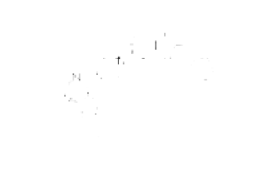 CCc1cc2c(N3CCN(C(=O)CC4=COC(Cc5ccccc5)O4)CC3)ncnc2s1